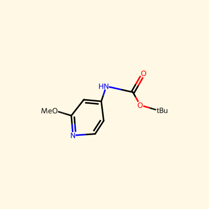 COc1cc(NC(=O)OC(C)(C)C)ccn1